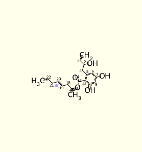 C=CC(O)Cc1cc(O)cc(O)c1C(=O)O[C@@H](C)C/C=C/CCC